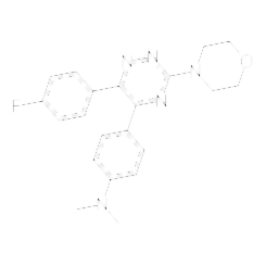 CN(C)c1ccc(-c2nc(N3CCOCC3)nnc2-c2ccc(F)cc2)cc1